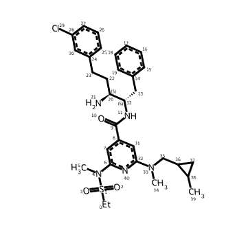 CCS(=O)(=O)N(C)c1cc(C(=O)N[C@@H](Cc2ccccc2)[C@@H](N)CCc2cccc(Cl)c2)cc(N(C)CC2CC2C)n1